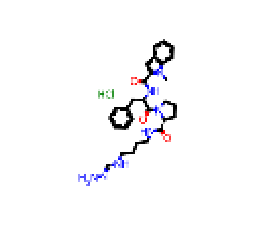 Cl.Cn1c(C(=O)N[C@H](Cc2ccccc2)C(=O)N2CCC[C@H]2C(=O)NCCCCNC=NN)cc2ccccc21